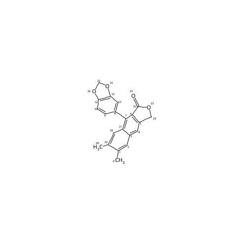 Cc1cc2cc3c(c(-c4ccc5c(c4)OCO5)c2cc1C)C(=O)OC3